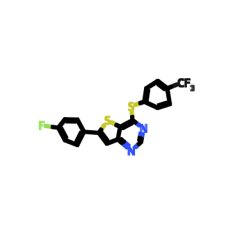 Fc1ccc(-c2cc3ncnc(Sc4ccc(C(F)(F)F)cc4)c3s2)cc1